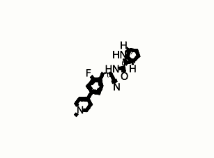 CN1CC=C(c2ccc(C[C@@H](C#N)NC(=O)[C@H]3N[C@@H]4CC[C@H]3C4)c(F)c2)CC1